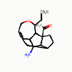 NC1C2C3=CCOC(CC(=O)O)C2C2(C(=O)C(=O)O)CCC(C3)C12